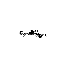 Cc1cccc(C[C@H](O)/C=C/[C@@H]2[C@H]3CC(CCOCC(=O)N4CCCCC4)=C[C@H]3C[C@H]2O)c1